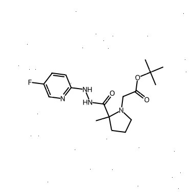 CC(C)(C)OC(=O)CN1CCCC1(C)C(=O)NNc1ccc(F)cn1